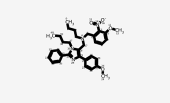 CCCCN(Cc1cccc(OC)c1[N+](=O)[O-])Cc1c(-c2ccc(OC)cc2)nc(-c2ccccc2)n1CCCC